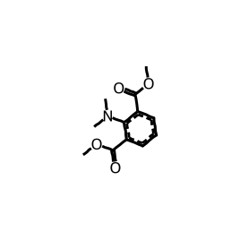 COC(=O)c1cccc(C(=O)OC)c1N(C)C